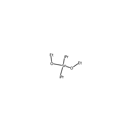 CC[O][Sn]([O]CC)([CH](C)C)[CH](C)C